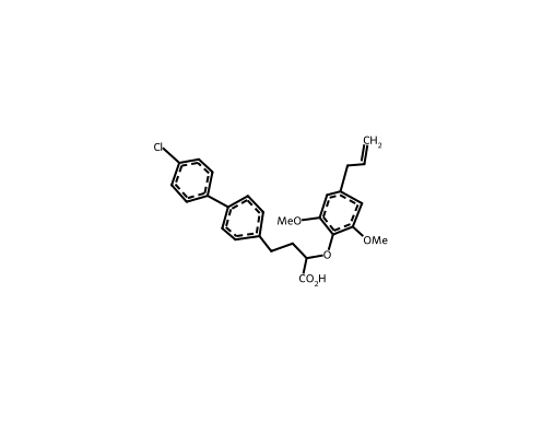 C=CCc1cc(OC)c(OC(CCc2ccc(-c3ccc(Cl)cc3)cc2)C(=O)O)c(OC)c1